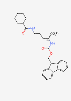 O=C(N[C@@H](CCCNC(=O)C1CCCCC1)C(=O)O)OCC1c2ccccc2-c2ccccc21